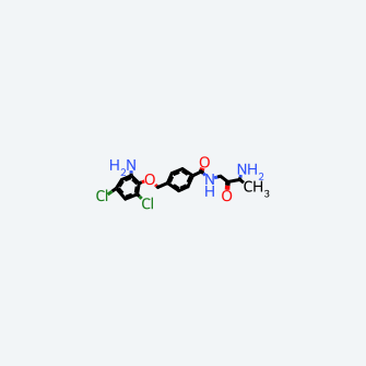 CC(N)C(=O)CNC(=O)c1ccc(COc2c(N)cc(Cl)cc2Cl)cc1